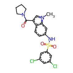 Cn1cc(C(=O)N2CCCC2)c2ccc(NS(=O)(=O)c3cc(Cl)cc(Cl)c3)cc21